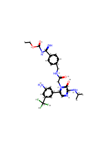 CCOC(=O)NC(=N)c1ccc(CNC(=O)Cn2c(-c3cc(N)cc(C(F)(F)F)c3)cnc(NC(C)C)c2=O)cc1